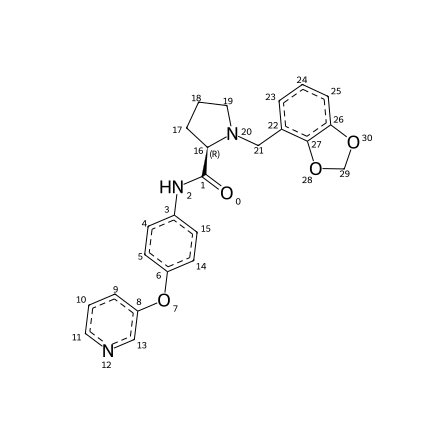 O=C(Nc1ccc(Oc2cccnc2)cc1)[C@H]1CCCN1Cc1cccc2c1OCO2